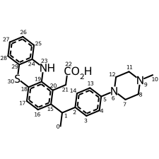 CC(c1ccc(N2CCN(C)CC2)cc1)c1ccc2c(c1CC(=O)O)Nc1ccccc1S2